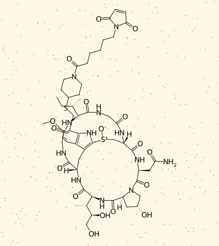 CC[C@H](C)[C@@H]1NC(=O)CNC(=O)[C@@H]2Cc3c([nH]c4c(CSC5CCN(C(=O)CCCCCN6C(=O)C=CC6=O)CC5)c(OC)ccc34)[S+]([O-])C[C@H](NC(=O)CNC1=O)C(=O)N[C@@H](CC(N)=O)C(=O)N1C[C@H](O)C[C@H]1C(=O)N[C@@H]([C@@H](C)[C@@H](O)CO)C(=O)N2